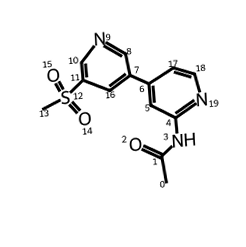 CC(=O)Nc1cc(-c2cncc(S(C)(=O)=O)c2)ccn1